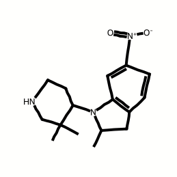 CC1Cc2ccc([N+](=O)[O-])cc2N1C1CCNCC1(C)C